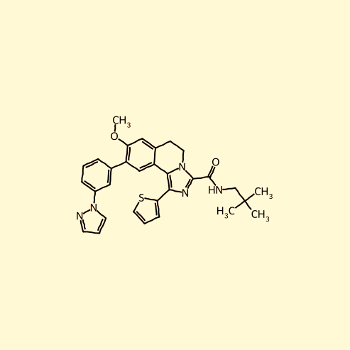 COc1cc2c(cc1-c1cccc(-n3cccn3)c1)-c1c(-c3cccs3)nc(C(=O)NCC(C)(C)C)n1CC2